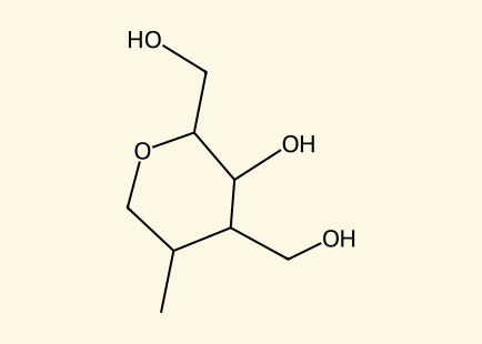 CC1COC(CO)C(O)C1CO